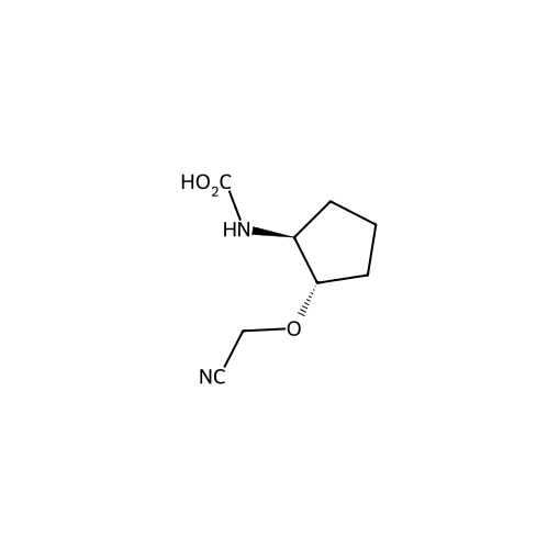 N#CCO[C@H]1CCC[C@@H]1NC(=O)O